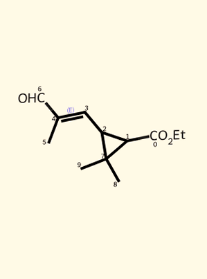 CCOC(=O)C1C(/C=C(\C)C=O)C1(C)C